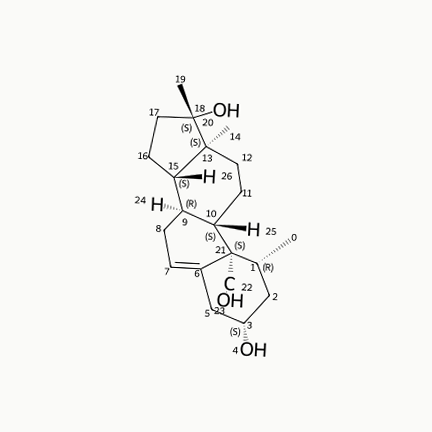 C[C@@H]1C[C@H](O)CC2=CC[C@@H]3[C@H](CC[C@@]4(C)[C@H]3CC[C@]4(C)O)[C@]21CO